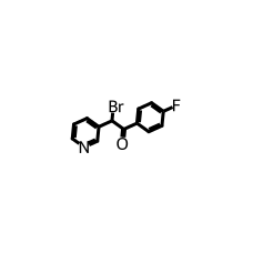 O=C(c1ccc(F)cc1)C(Br)c1cccnc1